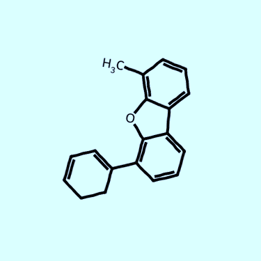 Cc1cccc2c1oc1c(C3=CC=CCC3)cccc12